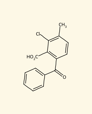 Cc1ccc(C(=O)c2ccccc2)c(C(=O)O)c1Cl